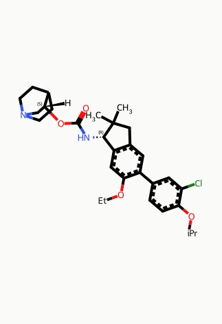 CCOc1cc2c(cc1-c1ccc(OC(C)C)c(Cl)c1)CC(C)(C)[C@H]2NC(=O)O[C@@H]1CN2CCC1CC2